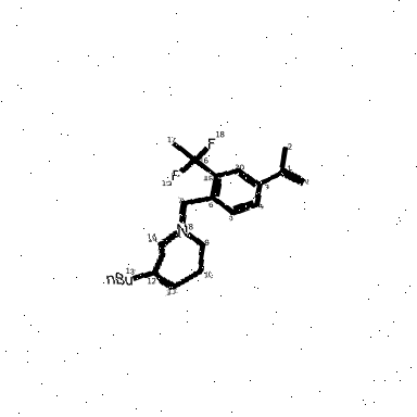 C=C(C)c1ccc(CN2CCCC(CCCC)C2)c(C(C)(F)F)c1